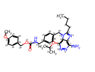 CCCCc1nc2c(N)nnc(OC(C)C)c2n1Cc1ccc(CNC(=O)OCc2ccc(OC)cc2)cc1